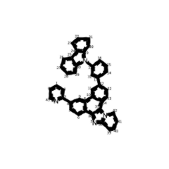 c1ccc(-c2ccc3c(c2)c2cc(-c4cccc(-n5c6ccccc6c6ccccc65)c4)ccc2c2c3nc3ccccn32)nc1